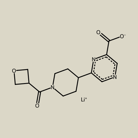 O=C([O-])c1cncc(C2CCN(C(=O)C3COC3)CC2)n1.[Li+]